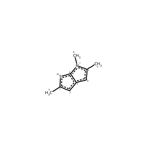 Cc1cc2[c]c(C)n(C)c2s1